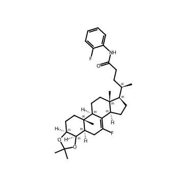 C[C@H](CCC(=O)Nc1ccccc1F)[C@H]1CC[C@H]2C3=C(F)C[C@H]4[C@H]5OC(C)(C)O[C@H]5CC[C@]4(C)[C@H]3CC[C@]12C